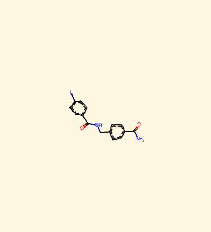 NC(=O)c1ccc(CNC(=O)c2ccc(I)cc2)cc1